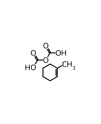 CC1=CCCCC1.O=C(O)OC(=O)O